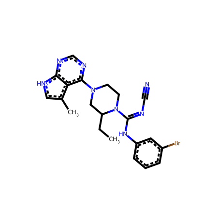 CCC1CN(c2ncnc3[nH]cc(C)c23)CCN1/C(=N\C#N)Nc1cccc(Br)c1